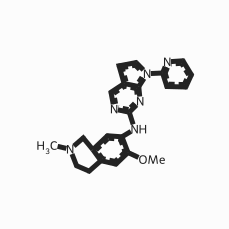 COc1cc2c(cc1Nc1ncc3ccn(-c4ccccn4)c3n1)CN(C)CC2